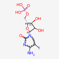 Nc1nc(=O)n([C@@H]2O[C@H](COP(=O)(O)O)[C@@H](O)C2O)cc1I